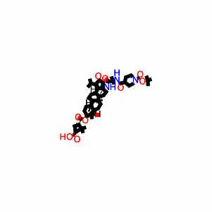 CC(C)C1=C2[C@H]3CC[C@@H]4[C@@]5(C)CC[C@H](OC(=O)[C@H]6C[C@@H](C(=O)O)C6(C)C)C(C)(C)[C@@H]5CC[C@@]4(C)[C@]3(C)CC[C@@]2(NC(=O)C(C)(C)NC(=O)C2CCN(C(=O)OC(C)(C)C)CC2)CC1=O